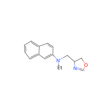 CCN(CC1CO[C]=N1)c1ccc2ccccc2c1